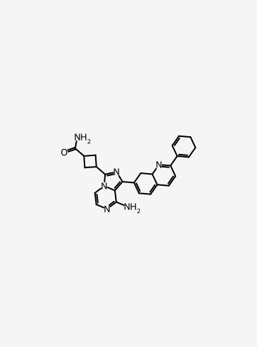 NC(=O)C1CC(c2nc(C3=CC=C4C=CC(C5=CCCC=C5)=NC4C3)c3c(N)nccn23)C1